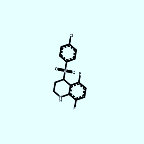 O=S(=O)(c1ccc(Cl)cc1)C1CCNc2c(F)ccc(F)c21